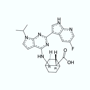 CC(C)n1ccc2c(N[C@@H]3C4CCC(CC4)[C@H]3C(=O)O)nc(-c3c[nH]c4ncc(F)cc34)nc21